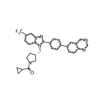 O=C(C1CC1)N1CC[C@H](Cn2c(-c3ccc(-c4ccc5ncncc5c4)cc3)nc3cc(C(F)(F)F)ccc32)C1